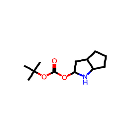 CC(C)(C)OC(=O)OC1CC2CCCC2N1